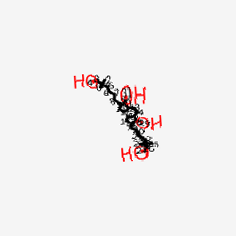 CC(C)(CO)CCCCC1CCC(/C=C\C2CCC(CCCCC(C)(C)CO)C2O)C1O